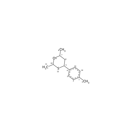 Cc1ccc(C2CC(C)OC(C)S2)cc1